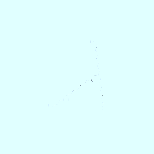 CCCCCCCCC(CCCCCCCCF)OC(=O)CCCCCCCNCCO